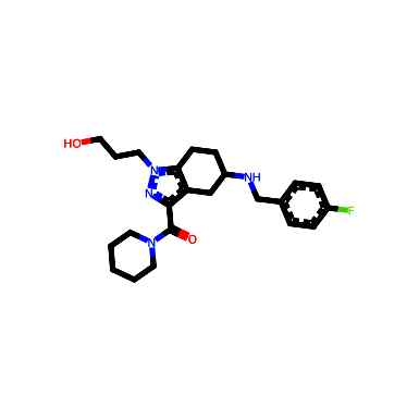 O=C(c1nn(CCCO)c2c1CC(NCc1ccc(F)cc1)CC2)N1CCCCC1